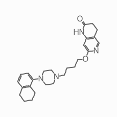 O=C1CCc2cnc(OCCCCN3CCN(c4cccc5c4CCCC5)CC3)cc2N1